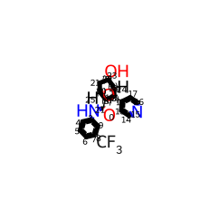 O=C(Nc1cccc(C(F)(F)F)c1)[C@H]1[C@@H](c2ccncc2)[C@H]2O[C@@H]1C[C@@H]2O